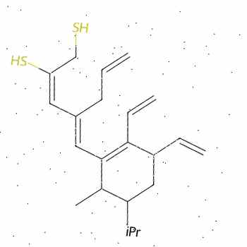 C=CCC(/C=C(/S)CS)=C\C1=C(C=C)C(C=C)CC(C(C)C)C1C